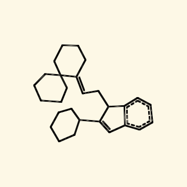 C1=C(C2CCCCC2)C(CC=C2CCCCC23CCCCC3)c2ccccc21